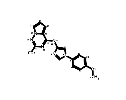 COc1[c]cc(-n2cnc(Nc3nc(Cl)nn4cccc34)c2)cc1